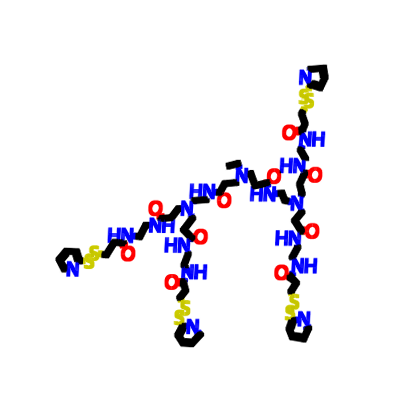 CCN(CCC(=O)NCCN(CCC(=O)NCCNC(=O)CCSSc1ccccn1)CCC(=O)NCCNC(=O)CCSSc1ccccn1)CCC(=O)NCCN(CCC(=O)NCCNC(=O)CCSSc1ccccn1)CCC(=O)NCCNC(=O)CCSSc1ccccn1